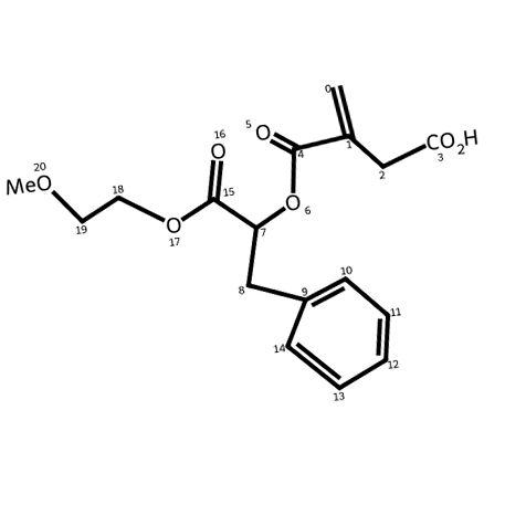 C=C(CC(=O)O)C(=O)OC(Cc1ccccc1)C(=O)OCCOC